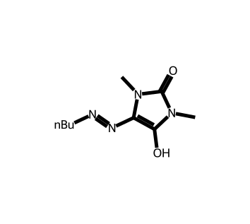 CCCCN=Nc1c(O)n(C)c(=O)n1C